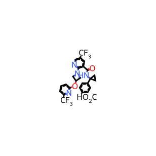 O=C(O)c1ccc(C2(NC(=O)c3cc(C(F)(F)F)cnc3N3CC(Oc4cccc(C(F)(F)F)n4)C3)CC2)cc1